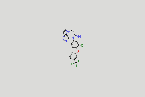 N=C1CCn2ccc3ncnc(c32)N1c1ccc(Oc2cccc(C(F)(F)F)c2)c(Cl)c1